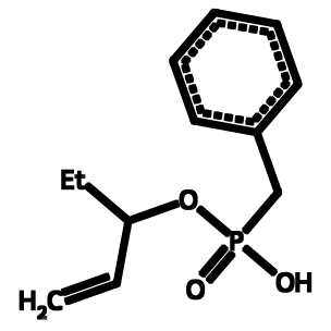 C=CC(CC)OP(=O)(O)Cc1ccccc1